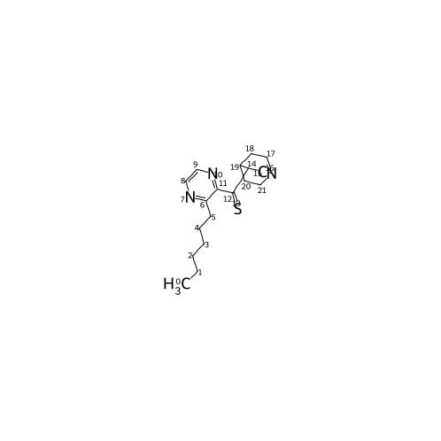 CCCCCCc1nccnc1C(=S)C1CN2CCC1CC2